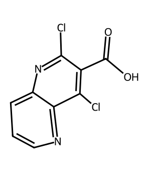 O=C(O)c1c(Cl)nc2cccnc2c1Cl